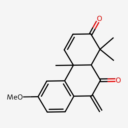 C=C1C(=O)C2C(C)(C)C(=O)C=CC2(C)c2cc(OC)ccc21